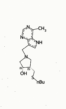 CCCCSC[C@H]1CN(Cc2c[nH]c3c(C)ncnc23)C[C@H]1O